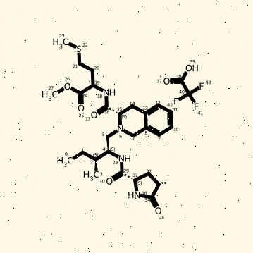 CC[C@H](C)[C@@H](CN1Cc2ccccc2C[C@H]1C(=O)NC(CCSC)C(=O)OC)NC(=O)[C@@H]1CCC(=O)N1.O=C(O)C(F)(F)F